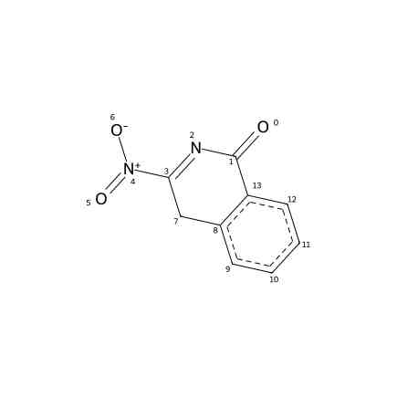 O=C1N=C([N+](=O)[O-])Cc2ccccc21